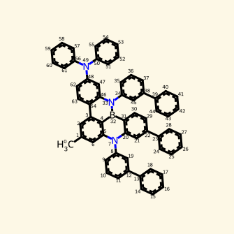 Cc1cc2c3c(c1)N(c1cccc(-c4ccccc4)c1)c1cc(-c4ccccc4)ccc1B3N(c1cccc(-c3ccccc3)c1)c1cc(N(c3ccccc3)c3ccccc3)ccc1-2